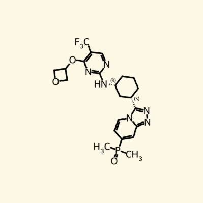 CP(C)(=O)c1ccn2c([C@H]3CCC[C@@H](Nc4ncc(C(F)(F)F)c(OC5COC5)n4)C3)nnc2c1